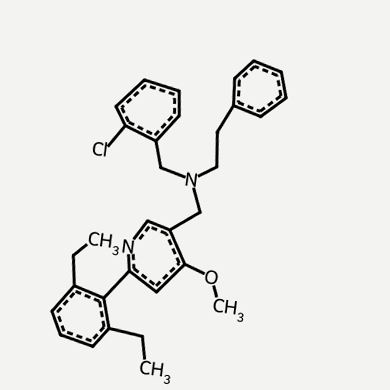 CCc1cccc(CC)c1-c1cc(OC)c(CN(CCc2ccccc2)Cc2ccccc2Cl)cn1